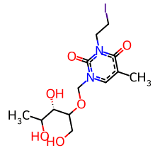 Cc1cn(COC(CO)[C@@H](O)C(C)O)c(=O)n(CCI)c1=O